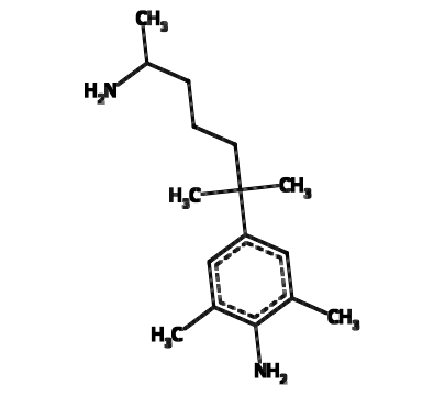 Cc1cc(C(C)(C)CCCC(C)N)cc(C)c1N